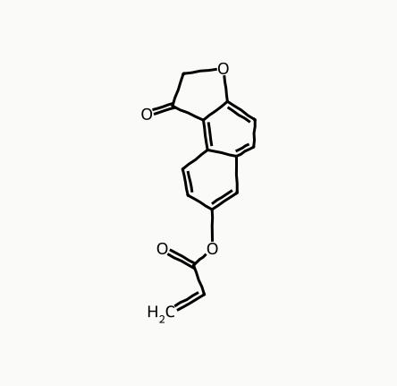 C=CC(=O)Oc1ccc2c3c(ccc2c1)OCC3=O